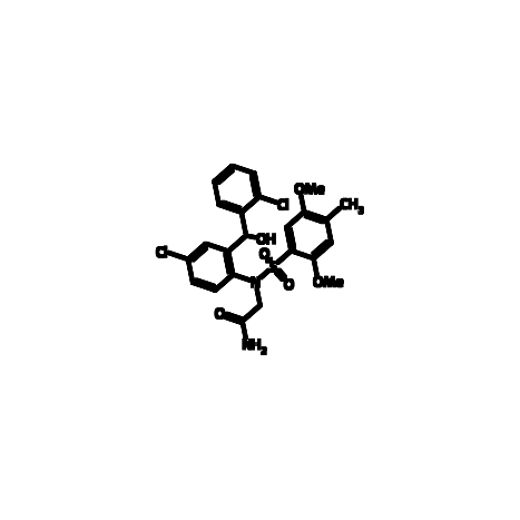 COc1cc(S(=O)(=O)N(CC(N)=O)c2ccc(Cl)cc2C(O)c2ccccc2Cl)c(OC)cc1C